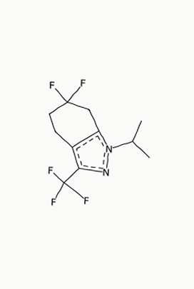 CC(C)n1nc(C(F)(F)F)c2c1CC(F)(F)CC2